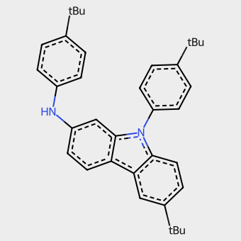 CC(C)(C)c1ccc(Nc2ccc3c4cc(C(C)(C)C)ccc4n(-c4ccc(C(C)(C)C)cc4)c3c2)cc1